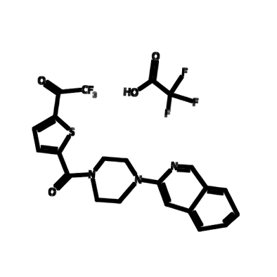 O=C(O)C(F)(F)F.O=C(c1ccc(C(=O)C(F)(F)F)s1)N1CCN(c2cc3ccccc3cn2)CC1